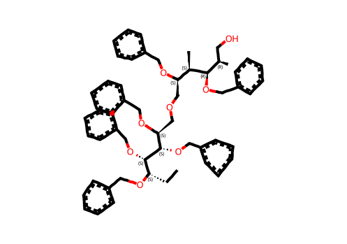 CC[C@H](OCc1ccccc1)[C@H](OCc1ccccc1)[C@@H](OCc1ccccc1)[C@H](COC[C@@H](OCc1ccccc1)[C@@H](C)[C@H](OCc1ccccc1)[C@H](C)CO)OCc1ccccc1